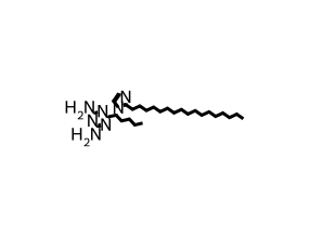 CCCCCCCCCCCCCCCCCc1nccn1C(CCCC)c1nc(N)nc(N)n1